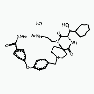 CNC(=O)c1ccc(Oc2ccc(CN3CCC4(CC3)C(=O)N[C@H]([C@H](O)C3CCCCC3)C(=O)N4CCNC(C)=O)cc2)cc1.Cl